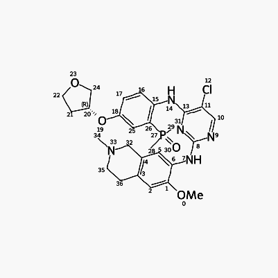 COc1cc2c(cc1Nc1ncc(Cl)c(Nc3ccc(O[C@@H]4CCOC4)cc3P(C)(C)=O)n1)CN(C)CC2